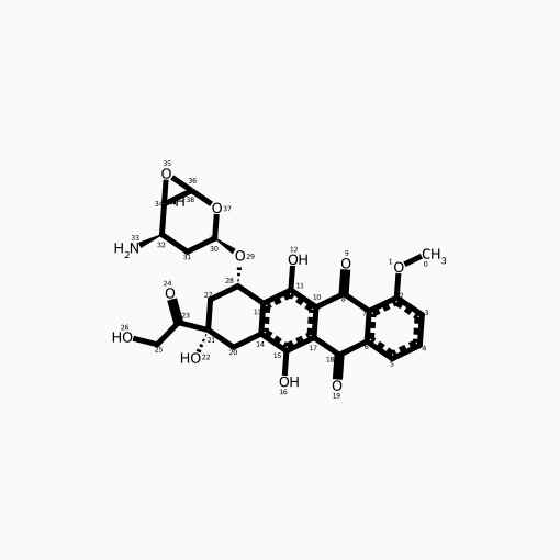 COc1cccc2c1C(=O)c1c(O)c3c(c(O)c1C2=O)C[C@@](O)(C(=O)CO)C[C@@H]3O[C@H]1C[C@@H](N)[C@H]2OC2O1